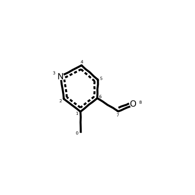 Cc1cnccc1C=O